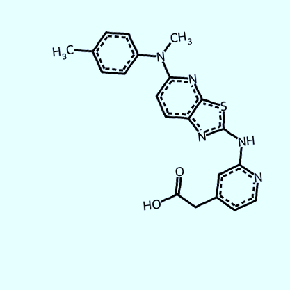 Cc1ccc(N(C)c2ccc3nc(Nc4cc(CC(=O)O)ccn4)sc3n2)cc1